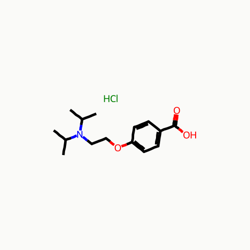 CC(C)N(CCOc1ccc(C(=O)O)cc1)C(C)C.Cl